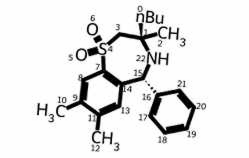 CCCC[C@]1(C)CS(=O)(=O)c2cc(C)c(C)cc2[C@@H](c2ccccc2)N1